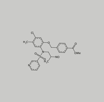 COC(=O)c1ccc(COc2cc(Cl)c(C)cc2N(CC(C)N=O)S(=O)(=O)c2cccnc2)cc1